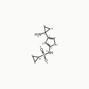 NC1(c2csc(NS(=O)(=O)C3CC3)n2)CC1